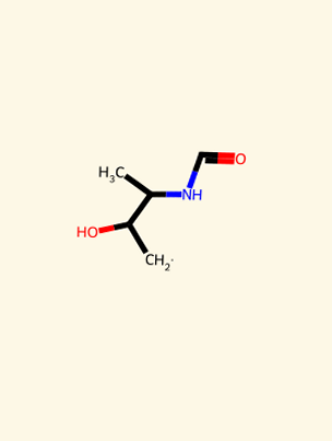 [CH2]C(O)C(C)NC=O